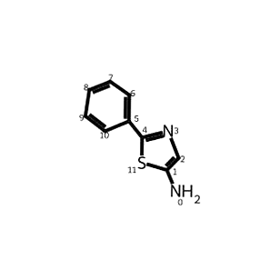 Nc1cnc(-c2ccccc2)s1